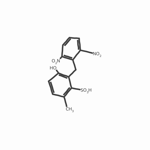 Cc1ccc(O)c(Cc2c([N+](=O)[O-])cccc2[N+](=O)[O-])c1S(=O)(=O)O